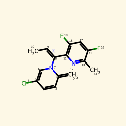 C=C1C=CC(Cl)=CN1/C(=C\C)c1nc(C)c(F)cc1F